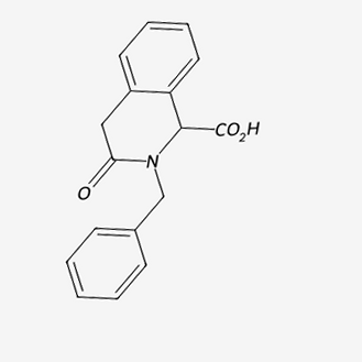 O=C(O)C1c2ccccc2CC(=O)N1Cc1ccccc1